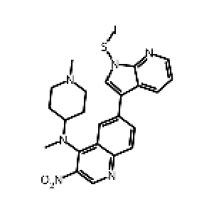 CN1CCC(N(C)c2c([N+](=O)[O-])cnc3ccc(-c4cn(SI)c5ncccc45)cc23)CC1